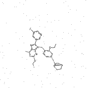 CCOc1nc(C)c2nc(-c3cncc(F)c3)n(Cc3ccc(C4=CN5CCC4CC5)cc3OCC)c2n1